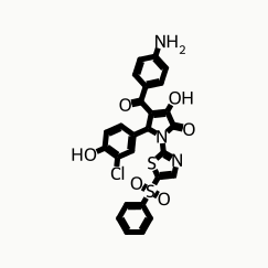 Nc1ccc(C(=O)C2=C(O)C(=O)N(c3ncc(S(=O)(=O)c4ccccc4)s3)C2c2ccc(O)c(Cl)c2)cc1